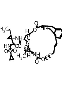 C=C[C@@H]1C[C@]1(NC(=O)[C@@H]1C[C@@H]2CN1C(=O)[C@H](C(C)C)NC(=O)OCCC/C=C/c1cccc3c1CNC(C3)C(=O)O2)C(=O)NS(=O)(=O)C1CC1